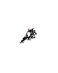 CO[C@H]1/C=C/C[C@H](C)C[S@@](=O)(NC(=O)c2cc3n(c2)CCc2c-3cnn2C)=NC(=O)c2ccc3c(c2)N(C[C@@H]2CC[C@H]21)C[C@@]1(CCCc2cc(Cl)ccc21)CO3